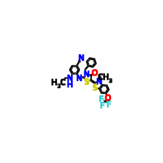 CCNc1ccc(C#N)cc1/N=C1/S/C(=C2\Sc3cc(OC(F)(F)F)ccc3N2C)C(=O)N1Cc1ccccc1